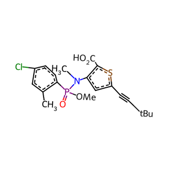 COP(=O)(c1ccc(Cl)cc1C)N(C)c1cc(C#CC(C)(C)C)sc1C(=O)O